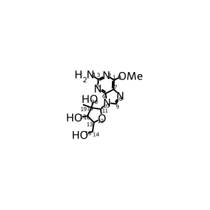 COc1nc(N)nc2c1ncn2C1OC(CO)C(O)C1(C)O